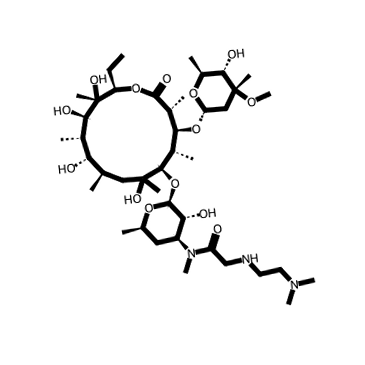 CC[C@H]1OC(=O)[C@H](C)[C@@H](O[C@H]2C[C@@](C)(OC)[C@@H](O)[C@H](C)O2)[C@H](C)[C@@H](O[C@@H]2O[C@H](C)C[C@H](N(C)C(=O)CNCCN(C)C)[C@H]2O)C(C)(O)C[C@@H](C)[C@H](O)[C@H](C)[C@@H](O)[C@]1(C)O